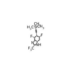 C[Si](C)(C)C#Cc1c(F)cc2[nH]c(C(F)(F)F)nc2c1F